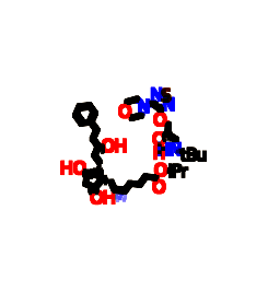 CC(C)(C)NC[C@H](O)COc1nsnc1N1CCOCC1.CC(C)OC(=O)CCC/C=C\C[C@@H]1[C@@H](CC[C@@H](O)CCc2ccccc2)[C@H](O)C[C@@H]1O